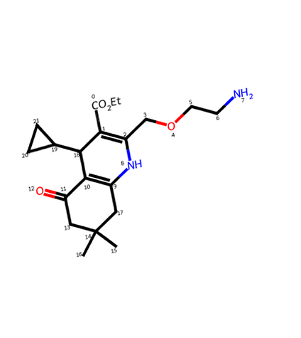 CCOC(=O)C1=C(COCCN)NC2=C(C(=O)CC(C)(C)C2)C1C1CC1